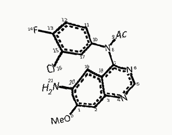 COc1cc2ncnc(N(C(C)=O)c3ccc(F)c(Cl)c3)c2cc1N